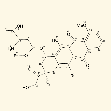 CCOC(CC(N)C(C)O)O[C@H]1C[C@](O)(C(=O)CO)CC2=C(O)C3C(=O)c4cccc(OC)c4C(=O)C3C(O)=C21